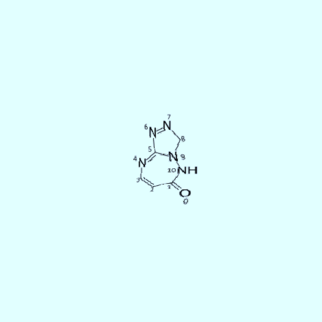 O=C1C=CN=C2N=NCN2N1